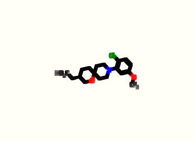 O=C(O)C[C@H]1CCC2(CCN(c3cc(OC(F)(F)F)ccc3Cl)CC2)OC1